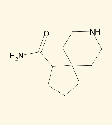 NC(=O)C1CCCC12CCNCC2